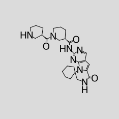 O=C1NCC2(CCCCC2)n2c1cc1cnc(NC(=O)[C@@H]3CCCN(C(=O)[C@@H]4CCCNC4)C3)nc12